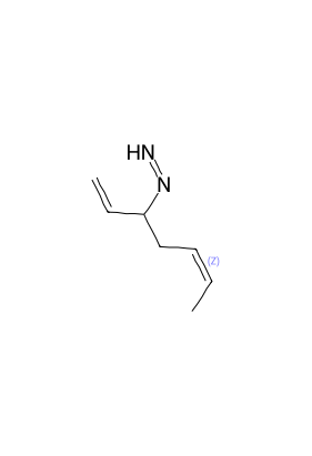 C=CC(C/C=C\C)N=N